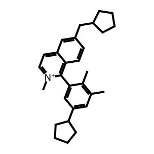 Cc1cc(C2CCCC2)cc(-c2c3ccc(CC4CCCC4)cc3cc[n+]2C)c1C